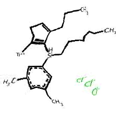 CCCCC[SiH](C1=[C]([Ti+3])CC=C1CCC)c1cc(C)cc(C)c1.[Cl-].[Cl-].[Cl-]